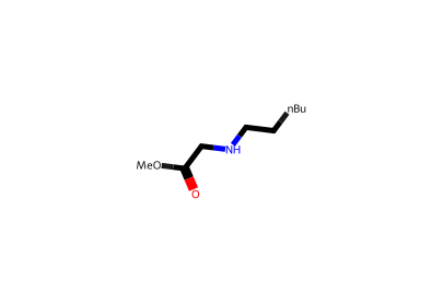 CCCCCCNCC(=O)OC